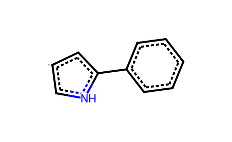 [c]1c[nH]c(-c2ccccc2)c1